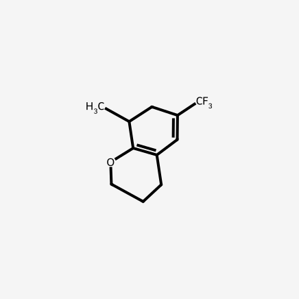 CC1CC(C(F)(F)F)=CC2=C1OCCC2